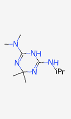 CC(C)NC1=NC(C)(C)N=C(N(C)C)N1